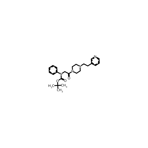 CC(C)(C)OC(=O)N(CC(=O)N1CCN(CCc2cccnc2)CC1)c1ccccc1